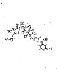 COCCN/C(=N\C#N)NC[C@H](NC(=O)c1c(Cl)cc2c(c1Cl)CCN(CCC(O)c1cccc(O)c1)C2)C(=O)O